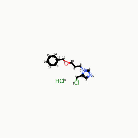 Cl.ClCc1cncn1CCCOCc1ccccc1